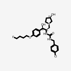 O=C(NCc1ccc(Cl)cc1)N[C@H](CN1CC[C@@H](O)C1)[C@H](O)c1ccc(OCCCCF)cc1